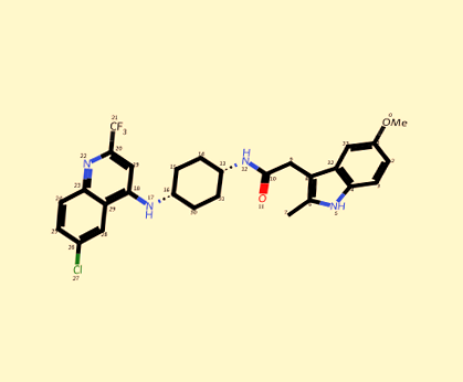 COc1ccc2[nH]c(C)c(CC(=O)N[C@H]3CC[C@@H](Nc4cc(C(F)(F)F)nc5ccc(Cl)cc45)CC3)c2c1